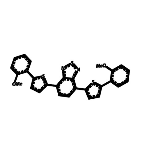 COc1ccccc1-c1ccc(-c2ccc(-c3ccc(-c4ccccc4OC)s3)c3nsnc23)s1